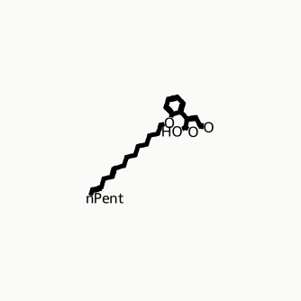 CCCCCC=CCC=CCCCCCCCCOc1ccccc1C1=CC(=O)OC1O